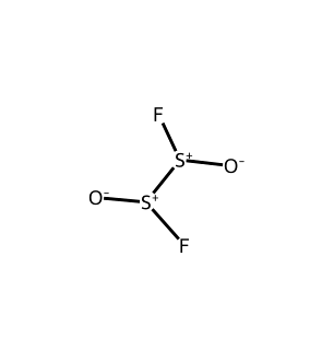 [O-][S+](F)[S+]([O-])F